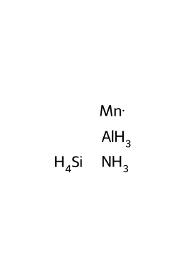 N.[AlH3].[Mn].[SiH4]